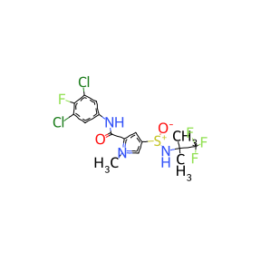 Cn1cc([S+]([O-])NC(C)(C)C(F)(F)F)cc1C(=O)Nc1cc(Cl)c(F)c(Cl)c1